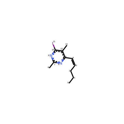 CCC/C=C\c1nc(C)nc(I)c1C